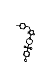 Cc1ccc(Cc2csc(N3CCC(S(=O)(=O)c4ccc(Cl)cc4)CC3)n2)cc1